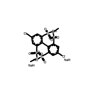 COS(=O)(=O)c1cc(Cl)cc(S(=O)(=O)O)c1-c1c(S(=O)(=O)O)cc(Cl)cc1S(=O)(=O)OC.[NaH].[NaH]